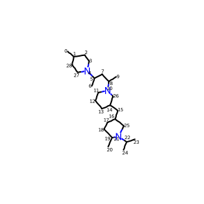 CC1CCN(C(C)CC(C)N2CCCC(CC3CCC(C)N(C(C)C)C3)C2)CC1